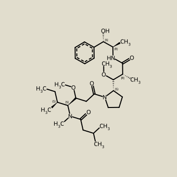 CC[C@H](C)[C@@H](C(CC(=O)N1CCC[C@H]1C(OC)[C@@H](C)C(=O)N[C@H](C)[C@@H](O)c1ccccc1)OC)N(C)C(=O)CC(C)C